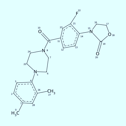 Cc1ccc(N2CCN(C(=O)c3ccc(N4CCOC4=O)c(F)c3)CC2)c(C)c1